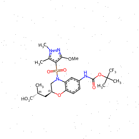 COc1nn(C)c(C)c1S(=O)(=O)N1C[C@H](C[C@@H](C)C(=O)O)Oc2ccc(NC(=O)OC(C)(C)C(F)(F)F)cc21